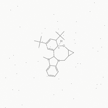 CN1c2ccccc2N2CC3CC3O[C@H]3C(=CC(C(C)(C)C)=CC3C(C)(C)C)C12